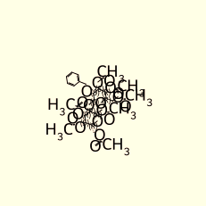 CC(=O)OC[C@H]1O[C@H](OC(C)=O)[C@H](O[C@@H]2O[C@H](COC(C)=O)[C@@H](OC(C)=O)[C@H](OC(C)=O)[C@@H]2OCc2ccccc2)[C@H](OC(C)=O)[C@H]1OC(C)=O